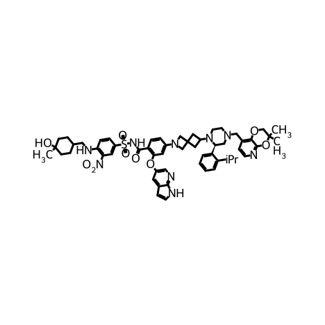 CC(C)c1ccccc1[C@@H]1CN(Cc2ccnc3c2OCC(C)(C)O3)CCN1C1CC2(C1)CN(c1ccc(C(=O)NS(=O)(=O)c3ccc(NCC4CCC(C)(O)CC4)c([N+](=O)[O-])c3)c(Oc3cnc4[nH]ccc4c3)c1)C2